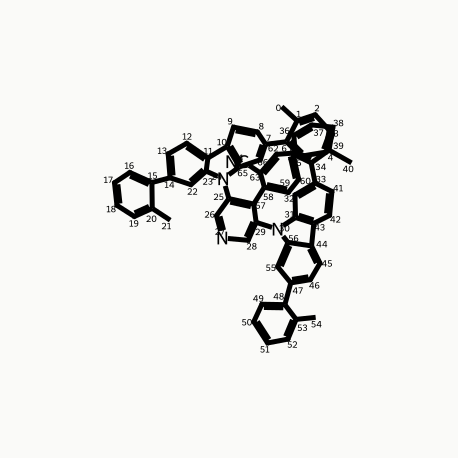 Cc1ccccc1-c1ccc2c3ccc(-c4ccccc4C)cc3n(-c3cncc(-n4c5cc(-c6ccccc6C)ccc5c5ccc(-c6ccccc6C)cc54)c3-c3ccccc3C#N)c2c1